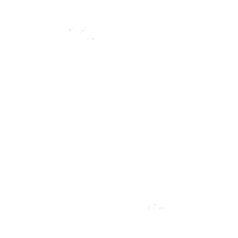 CCCCCCCCCCCCCCCCC#CC#CCCCCCCCCCOC=O